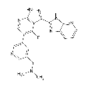 CN(C)Cc1cncc(-c2cnc3[nH]nc(-c4nc5cccnc5[nH]4)c3c2F)c1